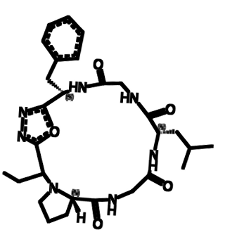 CCC1c2nnc(o2)[C@H](Cc2ccccc2)NC(=O)CNC(=O)[C@H](CC(C)C)NC(=O)CNC(=O)[C@@H]2CCCN12